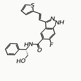 O=C(N[C@H](CO)c1ccccc1)c1cc2c(/C=C/c3cccs3)n[nH]c2cc1F